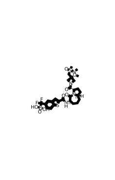 CN=S(C)(=O)CC1(OC)CN(C(=O)[C@@H]2CC[C@@H]3CCC[C@H](NC(=O)c4cc5cc(C(F)(F)P(=O)(O)O)ccc5s4)C(=O)N32)C1